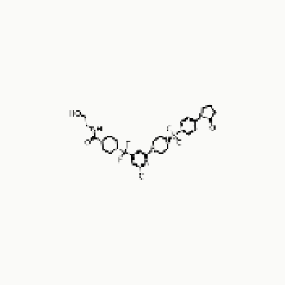 O=C1CCCN1c1ccc(S(=O)(=O)N2CCN(c3cc(C(F)(F)[C@H]4CC[C@H](C(=O)NCCO)CC4)cc(Cl)n3)CC2)cc1